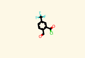 O=Cc1ccc(C(F)(F)F)cc1C(=O)Cl